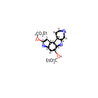 CCOC(=O)OC1=Cc2c3c(c(OC(=O)OCC)cc2=N1)=Nc1cnccc1-3